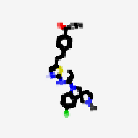 CC=C(NC1NC=C(CCc2ccc(C(=O)OC)cc2)S1)N1CC2(CCN(C(C)=O)C2)c2cc(Cl)ccc21